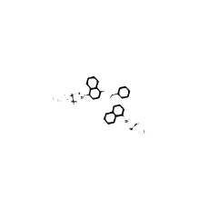 CC1(C)OB(c2ccc(OC(Oc3ccc(B4OC(C)(C)C(C)(C)O4)c4ccccc34)c3ccccc3)c3ccccc23)OC1(C)C